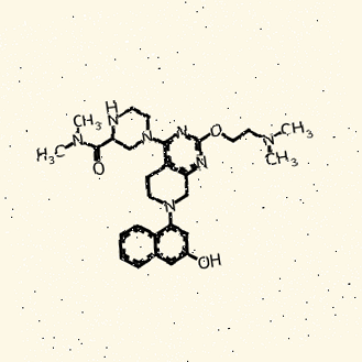 CN(C)CCOc1nc2c(c(N3CCNC(C(=O)N(C)C)C3)n1)CCN(c1cc(O)cc3ccccc13)C2